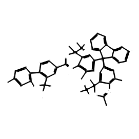 CC1=Nc2c(C)cc(C3(c4cc(C)c5c(c4)C(C)(C(F)(F)F)OC(c4ccc(-c6ccc(C)cc6C)c(C(F)(F)F)c4)=N5)c4ccccc4-c4ccccc43)cc2C(C)(C(F)(F)F)O1